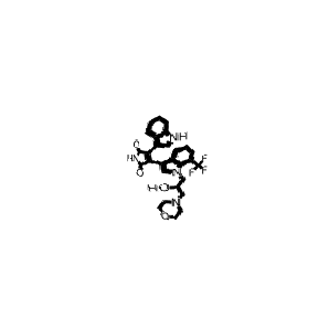 O=C1NC(=O)C(c2cn(CC(O)CN3CCOCC3)c3c(C(F)(F)F)cccc23)=C1c1c[nH]c2ccccc12